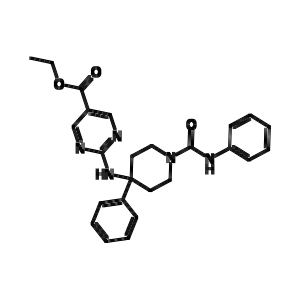 CCOC(=O)c1cnc(NC2(c3ccccc3)CCN(C(=O)Nc3ccccc3)CC2)nc1